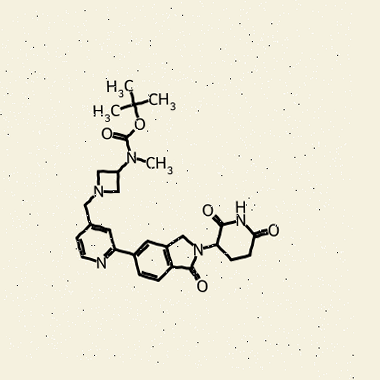 CN(C(=O)OC(C)(C)C)C1CN(Cc2ccnc(-c3ccc4c(c3)CN(C3CCC(=O)NC3=O)C4=O)c2)C1